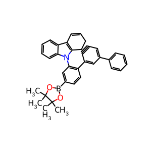 CC1(C)OB(c2ccc(-c3c#ccc(-c4ccccc4)c3)c(-n3c4c(c5ccccc53)C=CCC4)c2)OC1(C)C